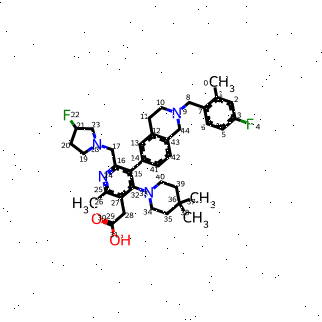 Cc1cc(F)ccc1CN1CCc2cc(-c3c(CN4CCC(F)C4)nc(C)c(CC(=O)O)c3N3CCC(C)(C)CC3)ccc2C1